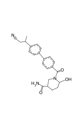 CC(CC#N)c1ccc(-c2ccc(C(=O)N3CC(C(N)=O)[CH]CC3O)cc2)cc1